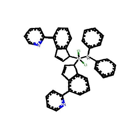 [Cl][Zr]([Cl])([CH]1C=Cc2c(-c3ccccn3)cccc21)([CH]1C=Cc2c(-c3ccccn3)cccc21)[SiH](c1ccccc1)c1ccccc1